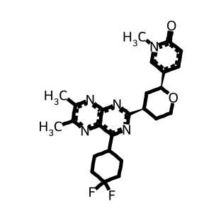 Cc1nc2nc([C@@H]3CCO[C@H](c4ccc(=O)n(C)c4)C3)nc(C3CCC(F)(F)CC3)c2nc1C